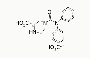 CC(=O)O.O=C(O)[C@@H]1CN(C(=O)N(c2ccccc2)c2ccccc2)CCN1